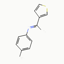 COc1ccc(/N=C(\C#N)c2ccsc2)cc1